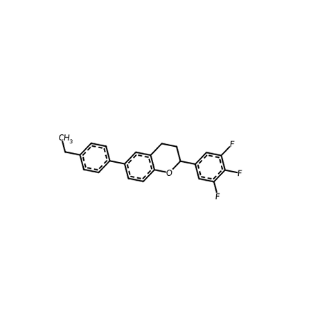 CCc1ccc(-c2ccc3c(c2)CCC(c2cc(F)c(F)c(F)c2)O3)cc1